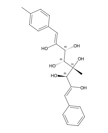 Cc1ccc(C=C(O)[C@H](O)[C@@H](O)[C@](C)(O)[C@H](O)C(O)=Cc2ccccc2)cc1